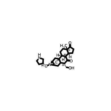 C[C@]12CC3C(CC1[C@@H](CO)C(=O)[C@@H]1[C@@H]2CC[C@]2(C)C(=O)CC[C@@H]12)N3O[C@@H]1CCNC1